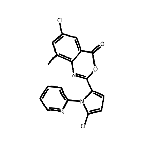 Cc1cc(Cl)cc2c(=O)oc(-c3ccc(Cl)n3-c3ccccn3)nc12